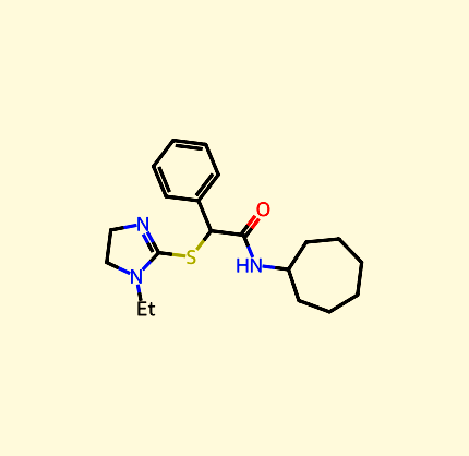 CCN1CCN=C1SC(C(=O)NC1CCCCCC1)c1ccccc1